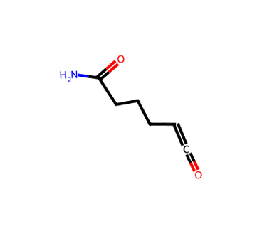 NC(=O)CCCC=C=O